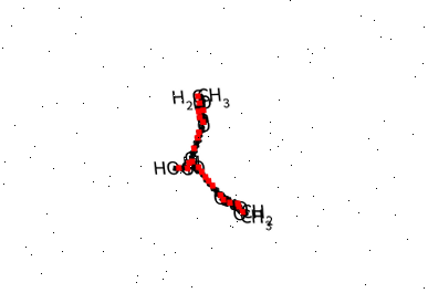 C=C(C)C(=O)Oc1ccc(-c2ccc(OCCCCCCCCCCCCOc3nc(OCCCCO)nc(OCCCCCCCCCCCCOc4ccc(-c5ccc(OC(=O)C(=C)C)cc5)cc4)n3)cc2)cc1